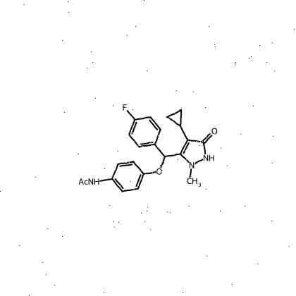 CC(=O)Nc1ccc(OC(c2ccc(F)cc2)c2c(C3CC3)c(=O)[nH]n2C)cc1